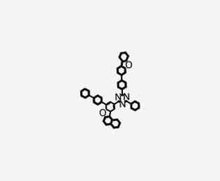 C1=C(c2nc(-c3ccccc3)nc(-c3ccc(-c4ccc5c(c4)oc4ccccc45)cc3)n2)C=C(c2ccc(-c3ccccc3)cc2)C2Oc3ccc4ccccc4c3C12